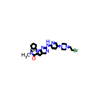 CN(C)C(=O)c1cc2cnc(Nc3ccc(N4CCN(CCBr)CC4)cn3)nc2n1C1CCCC1